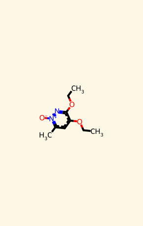 CCOc1cc(C)[n+]([O-])nc1OCC